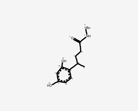 CCCCNC(=O)CCC(C)c1ccc(O)cc1O